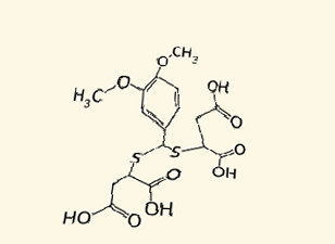 COc1ccc(C(SC(CC(=O)O)C(=O)O)SC(CC(=O)O)C(=O)O)cc1OC